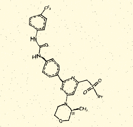 CC(C)S(=O)(=O)Cc1cc(N2CCOC[C@@H]2C)nc(-c2ccc(NC(=O)Nc3ccc(C(F)(F)F)cc3)cc2)n1